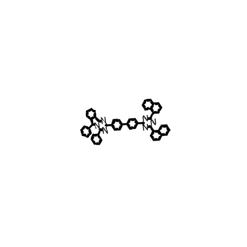 c1ccc(-c2nc(-c3ccc(-c4ccc(-c5nc(-c6cccc7ccccc67)nc(-c6cccc7ccccc67)n5)cc4)cc3)nc3c4ccccc4c(-c4ccccc4)n23)cc1